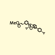 COC(=O)/C=C/c1cccc(N(CC23CCC(c4ccc(C5CC5)cc4)(CC2)CC3)C(=O)C2CC2)c1